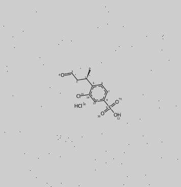 C[C@H](CC=O)c1ccc(S(=O)(=O)O)cc1Cl.Cl